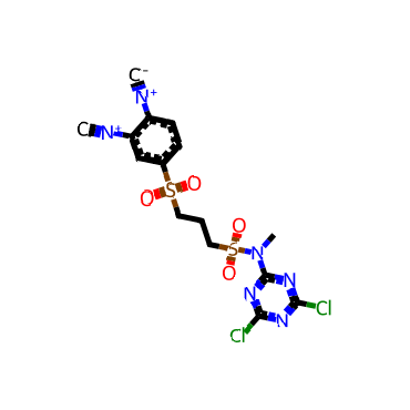 [C-]#[N+]c1ccc(S(=O)(=O)CCCS(=O)(=O)N(C)c2nc(Cl)nc(Cl)n2)cc1[N+]#[C-]